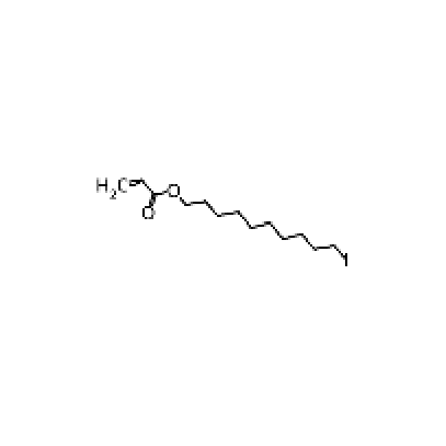 C=CC(=O)OCCCCCCCCCCI